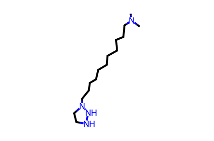 CN(C)CCCCCCCCCCCN1CCNN1